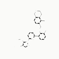 Cc1cccc(-c2cccc(-n3ncc(C(=O)O)c3OC(C)C)n2)c1OCc1ccc2c(c1C)CCNC2